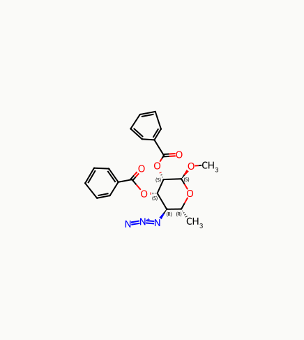 CO[C@H]1O[C@H](C)[C@@H](N=[N+]=[N-])[C@H](OC(=O)c2ccccc2)[C@@H]1OC(=O)c1ccccc1